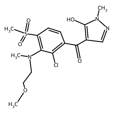 COCCN(C)c1c(S(C)(=O)=O)ccc(C(=O)c2cnn(C)c2O)c1Cl